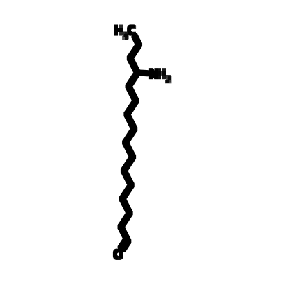 CCCC(N)CCCCCCCCCCCC=O